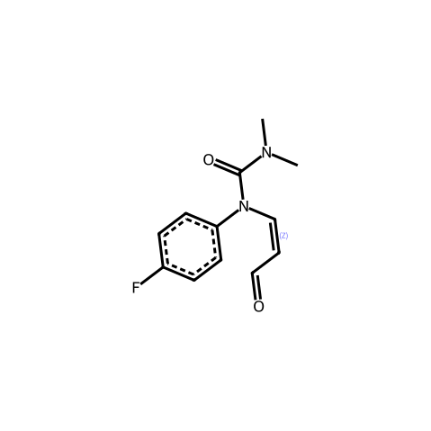 CN(C)C(=O)N(/C=C\C=O)c1ccc(F)cc1